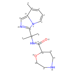 Cc1cccn2c(C(C)(C)NC(=O)C3CCNCCO3)ncc12